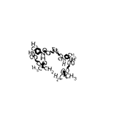 C=C(C)C(=O)OCCOC(=O)Nc1cc(NC(=O)OCCN(CC)CCOC(=O)Nc2ccc(C)c(NC(=O)OCCOC(=O)C(=C)C)c2)ccc1C